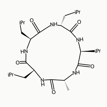 CC(C)C[C@@H]1NC(=O)[C@H](CC(C)C)NC(=O)[C@@H](C)NC(=O)[C@H](C(C)C)NC(=O)[C@@H](CC(C)C)NC1=O